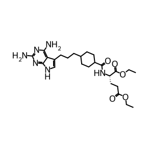 CCOC(=O)CC[C@H](NC(=O)C1CCC(CCCc2c[nH]c3nc(N)nc(N)c23)CC1)C(=O)OCC